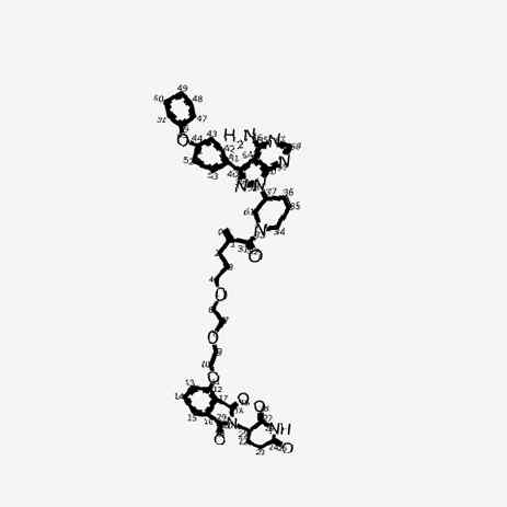 C=C(CCCOCCOCCOc1cccc2c1C(=O)N(C1CCC(=O)NC1=O)C2=O)C(=O)N1CCCC(n2nc(-c3ccc(Oc4ccccc4)cc3)c3c(N)ncnc32)C1